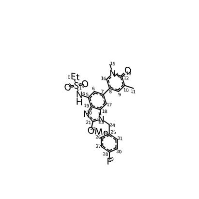 CCS(=O)(=O)Nc1cc(-c2cc(C)c(=O)n(C)c2)cc2c1nc(OC)n2Cc1ccc(F)cc1